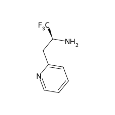 N[C@@H](Cc1ccccn1)C(F)(F)F